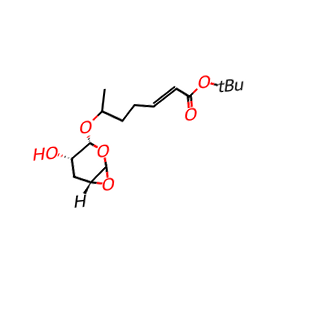 CC(CC/C=C/C(=O)OC(C)(C)C)O[C@@H]1OC2O[C@@H]2C[C@@H]1O